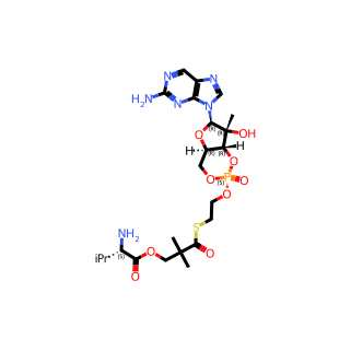 CC(C)[C@H](N)C(=O)OCC(C)(C)C(=O)SCCO[P@]1(=O)OC[C@H]2O[C@@H](n3cnc4cnc(N)nc43)[C@](C)(O)[C@@H]2O1